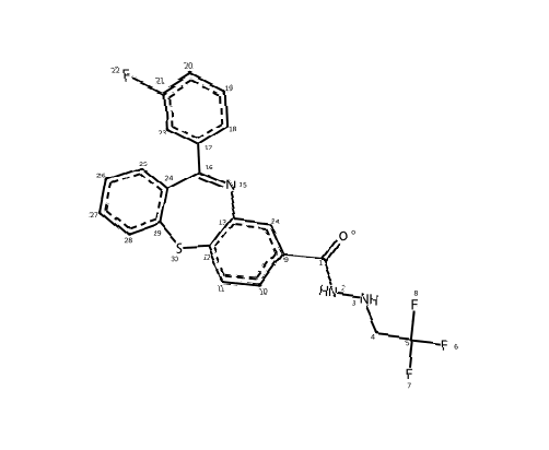 O=C(NNCC(F)(F)F)c1ccc2c(c1)N=C(c1cccc(F)c1)c1ccccc1S2